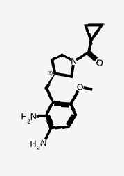 COc1ccc(N)c(N)c1C[C@H]1CCN(C(=O)C2CC2)C1